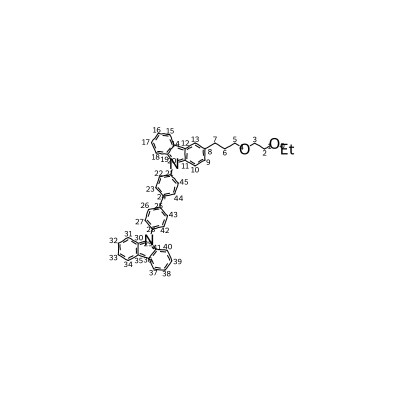 CCOCCOCCCc1ccc2c(c1)c1ccccc1n2-c1ccc(-c2ccc(-n3c4ccccc4c4ccccc43)cc2)cc1